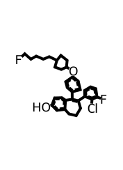 Oc1ccc2c(c1)CCCC(c1cccc(F)c1Cl)=C2c1ccc(OC2CCC(CCCCCF)CC2)cc1